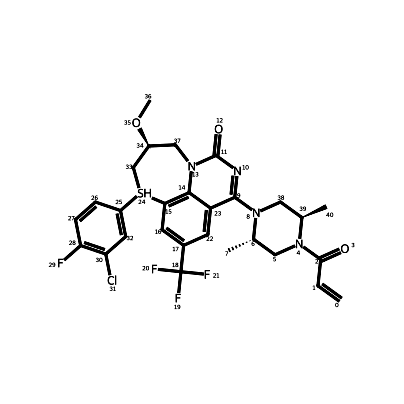 C=CC(=O)N1C[C@H](C)N(c2nc(=O)n3c4c(cc(C(F)(F)F)cc24)[SH](c2ccc(F)c(Cl)c2)C[C@@H](OC)C3)C[C@H]1C